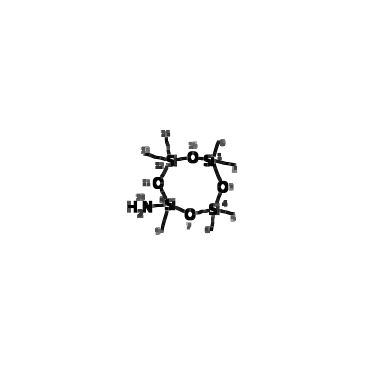 C[Si]1(C)O[Si](C)(C)O[Si](C)(N)O[Si](C)(C)O1